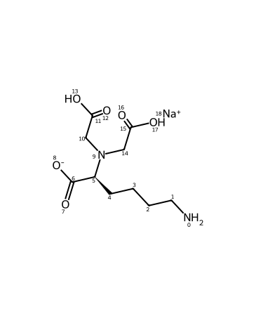 NCCCC[C@@H](C(=O)[O-])N(CC(=O)O)CC(=O)O.[Na+]